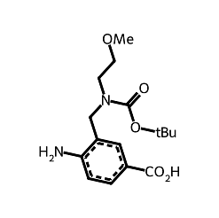 COCCN(Cc1cc(C(=O)O)ccc1N)C(=O)OC(C)(C)C